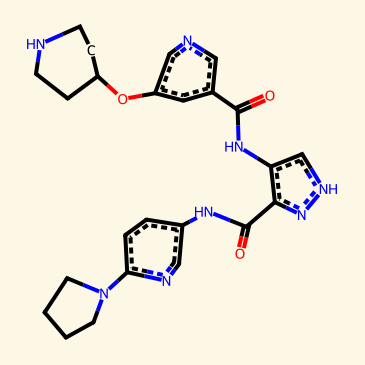 O=C(Nc1c[nH]nc1C(=O)Nc1ccc(N2CCCC2)nc1)c1cncc(OC2CCNCC2)c1